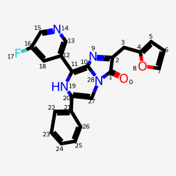 O=c1c(Cc2ccco2)nc2c(-c3cncc(F)c3)[nH]c(-c3ccccc3)cn1-2